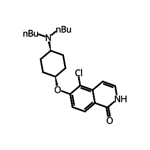 CCCCN(CCCC)[C@H]1CC[C@@H](Oc2ccc3c(=O)[nH]ccc3c2Cl)CC1